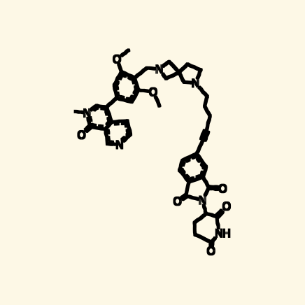 COc1cc(-c2cn(C)c(=O)c3cnccc23)cc(OC)c1CN1CC2(CCN(CCCC#Cc3ccc4c(c3)C(=O)N(C3CCC(=O)NC3=O)C4=O)C2)C1